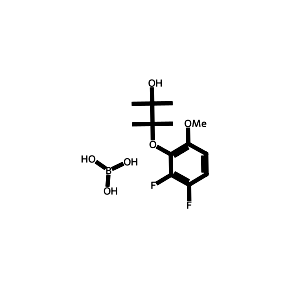 COc1ccc(F)c(F)c1OC(C)(C)C(C)(C)O.OB(O)O